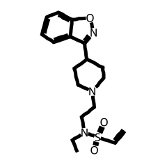 C=CS(=O)(=O)N(CC)CCN1CCC(c2noc3ccccc23)CC1